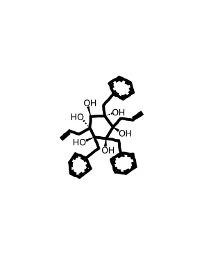 C=CC[C@]1(O)[C@](O)(Cc2ccccc2)[C@](O)(Cc2ccccc2)[C@@](O)(CC=C)[C@@H](O)[C@@]1(O)Cc1ccccc1